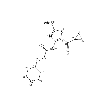 CSc1nc(NC(=O)COC2CCOCC2)c(C(=O)C2CC2)s1